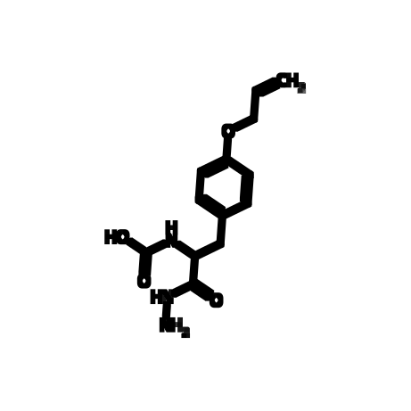 C=CCOc1ccc(CC(NC(=O)O)C(=O)NN)cc1